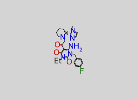 CCn1c(=O)c(C(=O)CN2CCCC[C@@H]2c2nccn2C)c(N)n(Cc2ccc(F)cc2)c1=O